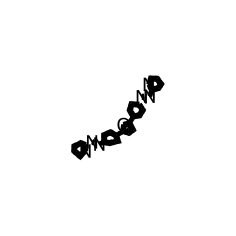 c1ccc(N=Nc2ccc(-c3ccc(-c4ccc(N=Nc5ccccn5)cc4)o3)cc2)nc1